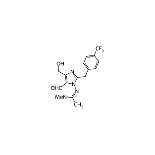 CN/C(C)=N\n1c(Cc2ccc(C(F)(F)F)cc2)nc(CO)c1C=O